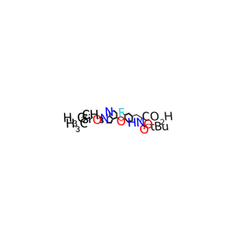 CC(C)(C)OC(=O)NC(Cc1ccc(Oc2ccnc3c2ccn3COCC[Si](C)(C)C)c(F)c1)C(=O)O